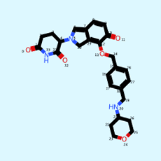 O=C1CCC(N2C=C3C=CC(=O)C(OCc4ccc(CNC5CCOCC5)cc4)=C3C2)C(=O)N1